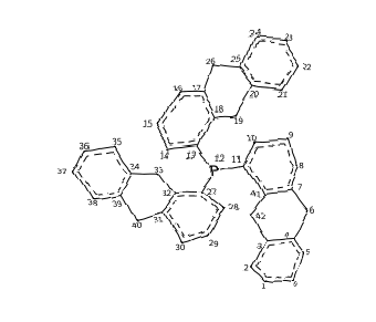 c1ccc2c(c1)Cc1cccc(P(c3cccc4c3Cc3ccccc3C4)c3cccc4c3Cc3ccccc3C4)c1C2